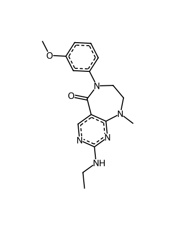 CCNc1ncc2c(n1)N(C)CCN(c1cccc(OC)c1)C2=O